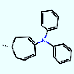 C[C@H]1CC=CC(N(c2ccccc2)c2ccccc2)=CC1